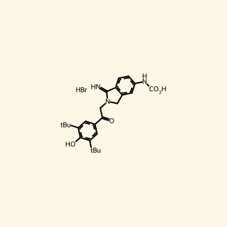 Br.CC(C)(C)c1cc(C(=O)CN2Cc3cc(NC(=O)O)ccc3C2=N)cc(C(C)(C)C)c1O